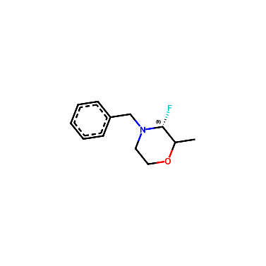 CC1OCCN(Cc2ccccc2)[C@@H]1F